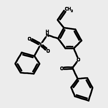 C=Cc1ccc(OC(=O)c2ccccc2)cc1NS(=O)(=O)c1ccccc1